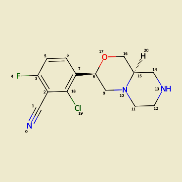 N#Cc1c(F)ccc([C@@H]2CN3CCNC[C@@H]3CO2)c1Cl